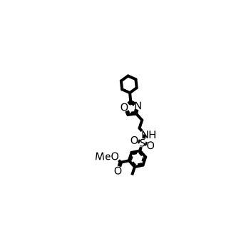 COC(=O)c1cc(S(=O)(=O)NCCc2coc(C3CCCCC3)n2)ccc1C